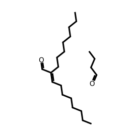 CCCC=O.CCCCCCC/C=C(/C=O)CCCCCCCC